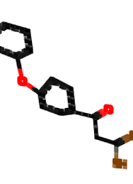 O=C(CC(=S)S)c1ccc(Oc2ccccc2)cc1